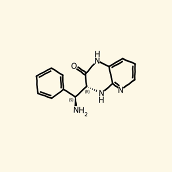 N[C@@H](c1ccccc1)[C@H]1Nc2ncccc2NC1=O